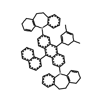 CC1=CC(C)CC(c2c3cc(N4C5=C(CCC=C5)CCc5ccccc54)ccc3c(-c3cccc4ccccc34)c3cc(N4C5=C(CCC=C5)CCc5ccccc54)ccc23)=C1